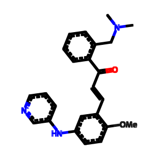 COc1ccc(Nc2cccnc2)cc1C=CC(=O)c1ccccc1CN(C)C